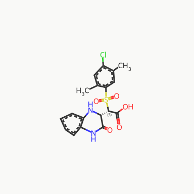 Cc1cc(S(=O)(=O)[C@H](C(=O)O)C2Nc3ccccc3NC2=O)c(C)cc1Cl